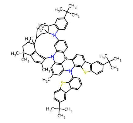 Cc1cc2c3c(c1)N(c1cccc4c1sc1ccc(C(C)(C)C)cc14)c1c(ccc4c1sc1ccc(C(C)(C)C)cc14)B3c1ccc3cc1N2c1cc2c(cc1C)C(C)(C)CCC2(C)C1CCC2(C)c4cc(C(C)(C)C)ccc4N3C2(C)C1